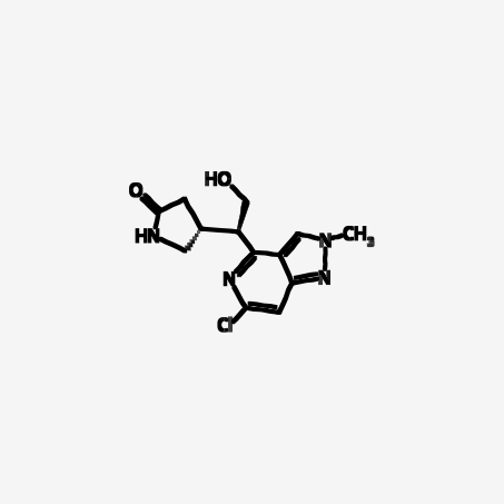 Cn1cc2c([C@H](CO)[C@@H]3CNC(=O)C3)nc(Cl)cc2n1